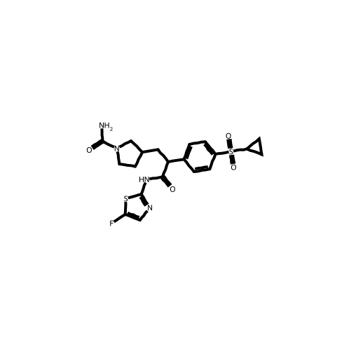 NC(=O)N1CCC(CC(C(=O)Nc2ncc(F)s2)c2ccc(S(=O)(=O)C3CC3)cc2)C1